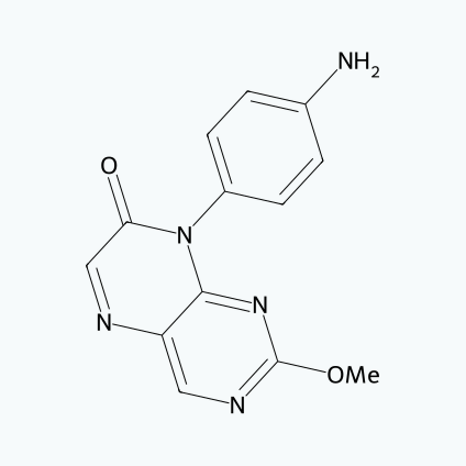 COc1ncc2ncc(=O)n(-c3ccc(N)cc3)c2n1